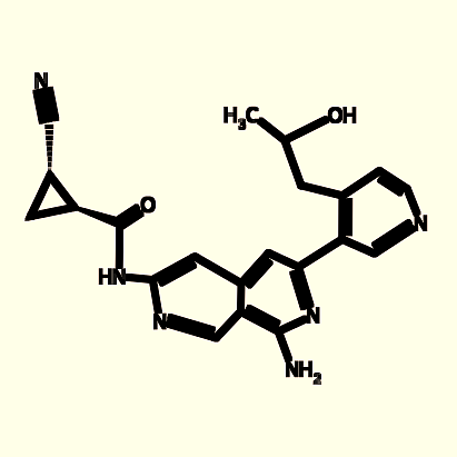 CC(O)Cc1ccncc1-c1cc2cc(NC(=O)[C@H]3C[C@@H]3C#N)ncc2c(N)n1